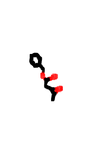 CC1OC1CC(=O)OCc1ccccc1